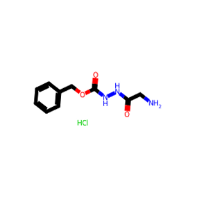 Cl.NCC(=O)NNC(=O)OCc1ccccc1